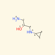 NCC(O)CNC1CC1